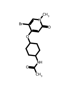 CC(=O)NC1CCC(Oc2cc(=O)n(C)cc2Br)CC1